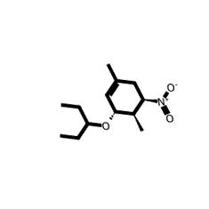 CCC(CC)O[C@@H]1C=C(C)C[C@@H]([N+](=O)[O-])[C@H]1C